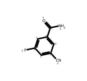 N#Cc1cc(F)cc(C(N)=O)c1